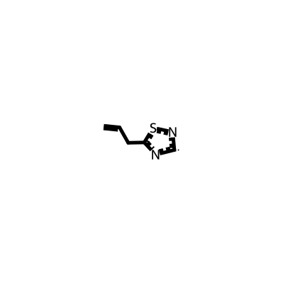 C=CCc1n[c]ns1